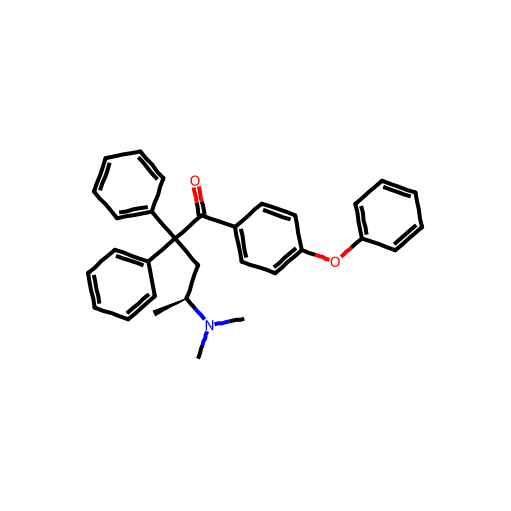 C[C@@H](CC(C(=O)c1ccc(Oc2ccccc2)cc1)(c1ccccc1)c1ccccc1)N(C)C